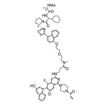 C=CC(=O)N1CCN(c2nc(NCCC(=O)N(C)CCOCCOc3ccc(-c4csc([C@@H]5CCCN5C(=O)C(NC(=O)[C@H](C)NC)C5CCCCC5)n4)c4ccccc34)cc3c(F)c(-c4cc(O)cc5ccccc45)c(Cl)cc23)CC1